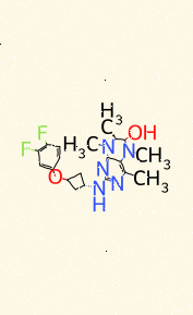 Cc1nc(N[C@H]2C[C@H](Oc3ccc(F)c(F)c3)C2)nc2c1N(C)C(O)[C@H](C)N2C